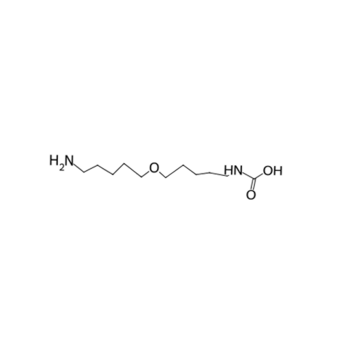 NCCCCCOCCCCCNC(=O)O